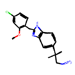 COc1cc(Cl)ccc1-c1nc2cc(C(C)(C)CN)ccc2[nH]1